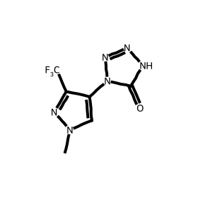 Cn1cc(-n2nn[nH]c2=O)c(C(F)(F)F)n1